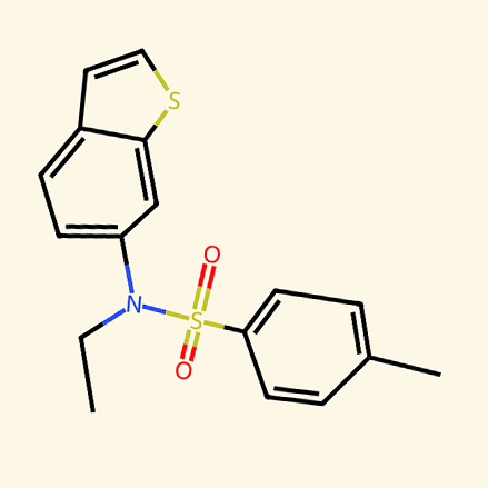 CCN(c1ccc2ccsc2c1)S(=O)(=O)c1ccc(C)cc1